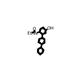 CCC(=O)Nc1ccc(O)cc1-c1ccc(-c2ccccc2)cc1